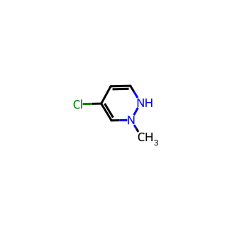 CN1C=C(Cl)C=CN1